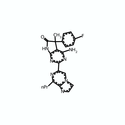 CCCc1nc(-c2nc(N)c3c(n2)NC(=O)C3(C)c2ccc(F)cc2)cn2ccnc12